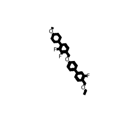 CCOCc1ccc(-c2ccc(OCc3ccc(C4CCC(OC)CC4)c(F)c3F)cc2)cc1F